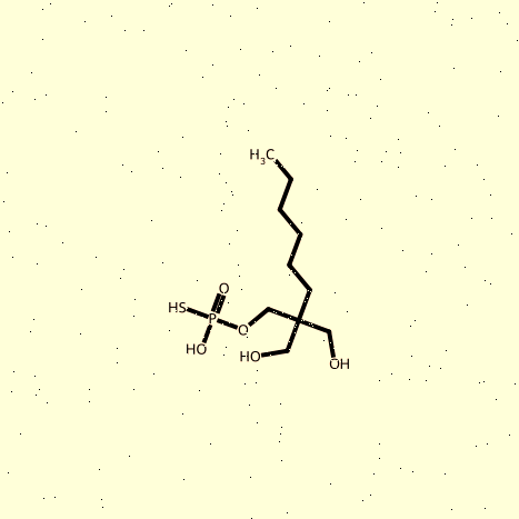 CCCCCCC(CO)(CO)COP(=O)(O)S